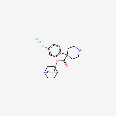 Cl.Cl.O=C(OC1CN2CCC1CC2)C1(c2ccc(F)cc2)CCNCC1